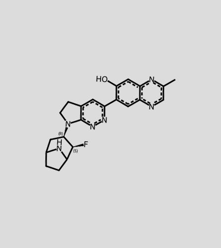 Cc1cnc2cc(-c3cc4c(nn3)N([C@@H]3CC5CCC(N5)[C@@H]3F)CC4)c(O)cc2n1